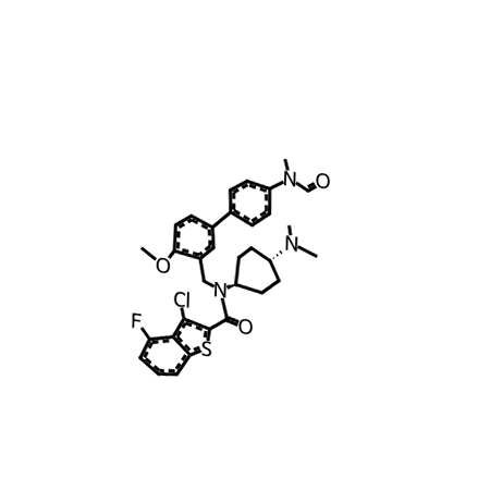 COc1ccc(-c2ccc(N(C)C=O)cc2)cc1CN(C(=O)c1sc2cccc(F)c2c1Cl)[C@H]1CC[C@H](N(C)C)CC1